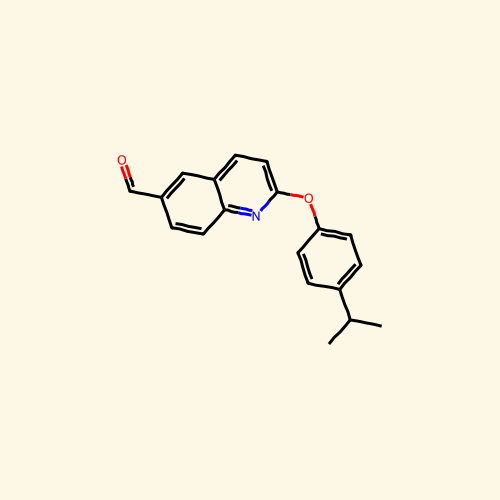 CC(C)c1ccc(Oc2ccc3cc(C=O)ccc3n2)cc1